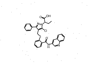 CCC(C(=O)O)n1nc(-c2ccccc2)c(CSc2ccccc2C(=O)Nc2cnc3ccccc3c2)c1Cl